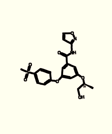 C[C@@H](CO)Oc1cc(Oc2ccc(S(C)(=O)=O)cc2)cc(C(=O)Nc2ccon2)c1